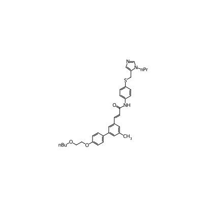 CCCCOCCOc1ccc(-c2cc(C)cc(/C=C/C(=O)Nc3ccc(SCc4cncn4CCC)cc3)c2)cc1